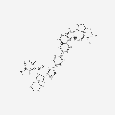 COC(=O)N[C@H](C(=O)N1C[C@]2(CCCCO2)C[C@H]1c1nc(-c2ccc(-c3ccc4c(ccc5nc([C@@H]6CCCN6C(=O)[C@@H](C)C(C)C)[nH]c54)c3)cc2)c[nH]1)C(C)C